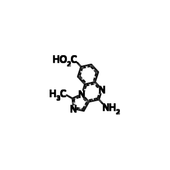 Cc1ncc2c(N)nc3ccc(C(=O)O)cc3n12